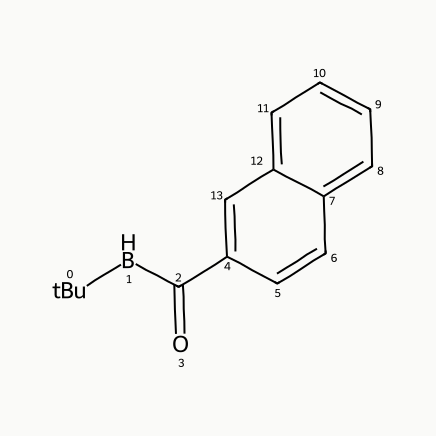 CC(C)(C)BC(=O)c1ccc2ccccc2c1